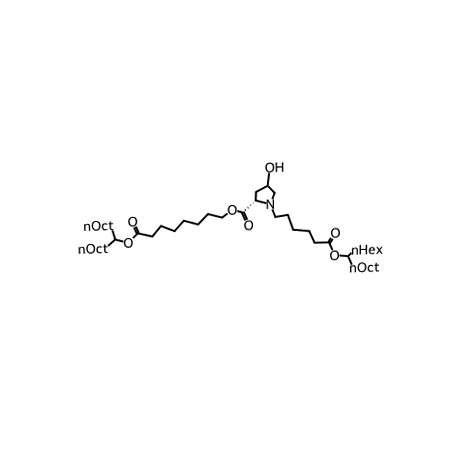 CCCCCCCCC(CCCCCC)OC(=O)CCCCCN1CC(O)C[C@H]1C(=O)OCCCCCCCC(=O)OC(CCCCCCCC)CCCCCCCC